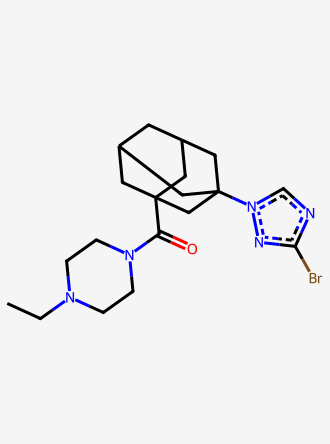 CCN1CCN(C(=O)C23CC4CC(C2)CC(n2cnc(Br)n2)(C4)C3)CC1